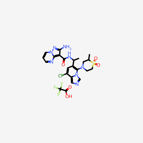 CC(NC(=O)c1c(N)nn2cccnc12)c1cc(Cl)c2cncn2c1N1CCS(=O)(=O)C(C)C1.O=C(O)C(F)(F)F